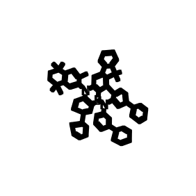 Cc1cc2c(cc1N1c3ccc(-c4ccccc4)cc3B3c4c1cc1c(c4-c4ccc(-c5ccccc5)cc4N3c3cccc(-c4ccccc4)c3)C(C)(C)c3ccccc3-1)C(C)(C)CCC2(C)C